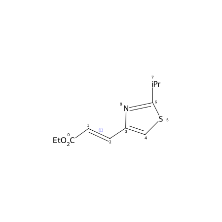 CCOC(=O)/C=C/c1csc(C(C)C)n1